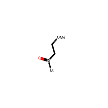 CC[Si](=O)CCOC